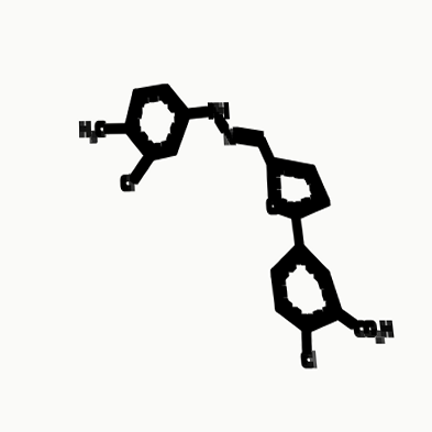 Cc1ccc(NN=Cc2ccc(-c3ccc(Cl)c(C(=O)O)c3)o2)cc1Cl